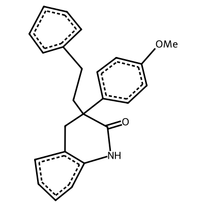 COc1ccc(C2(CCc3ccccc3)Cc3ccccc3NC2=O)cc1